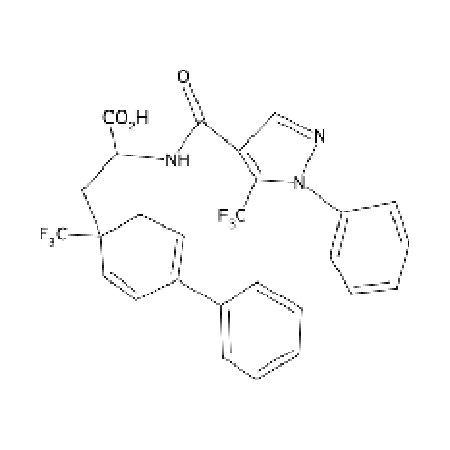 O=C(NC(CC1(C(F)(F)F)C=CC(c2ccccc2)=CC1)C(=O)O)c1cnn(-c2ccccc2)c1C(F)(F)F